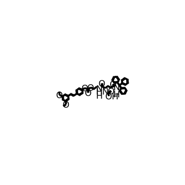 COc1cc(C=Cc2ccc(OC(=O)OCCNC(=O)C(CCC(=O)NC(c3ccccc3)(c3ccccc3)c3ccccc3)NC(=O)O)cc2)cc(OC)c1